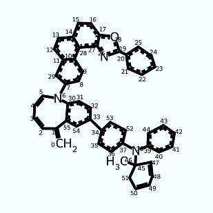 C=C1/C=C\C=C/N(c2ccc3c(ccc4ccc5oc(-c6ccccc6)nc5c43)c2)c2ccc(-c3ccc(N(c4ccccc4)C4(C)C=CC=CC4)cc3)cc21